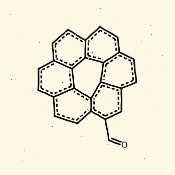 O=Cc1cc2ccc3ccc4ccc5ccc6ccc1c1c6c5c4c3c21